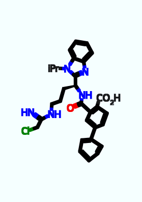 CC(C)n1c([C@H](CCCNC(=N)CCl)NC(=O)c2cc(-c3ccccc3)ccc2C(=O)O)nc2ccccc21